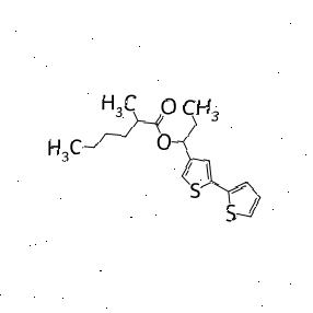 CCCCC(C)C(=O)OC(CC)c1csc(-c2cccs2)c1